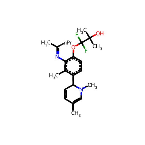 CCC/C(C)=N\c1c(OC(F)(F)C(C)(C)O)ccc(C2C=CC(C)=CN2C)c1C